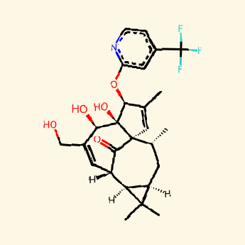 CC1=C[C@]23C(=O)[C@@H](C=C(CO)[C@@H](O)[C@]2(O)[C@H]1Oc1cc(C(F)(F)F)ccn1)[C@H]1[C@@H](C[C@H]3C)C1(C)C